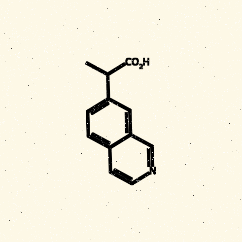 CC(C(=O)O)c1ccc2ccncc2c1